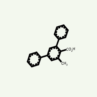 Cc1cc(-c2ccccc2)cc(-c2ccccc2)c1C(=O)O